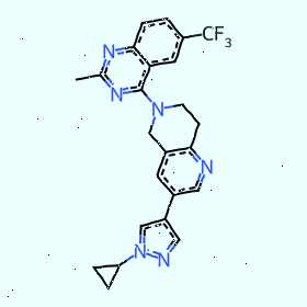 Cc1nc(N2CCc3ncc(-c4cnn(C5CC5)c4)cc3C2)c2cc(C(F)(F)F)ccc2n1